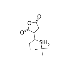 CCC([SiH2]C(C)(C)C)C1CC(=O)OC1=O